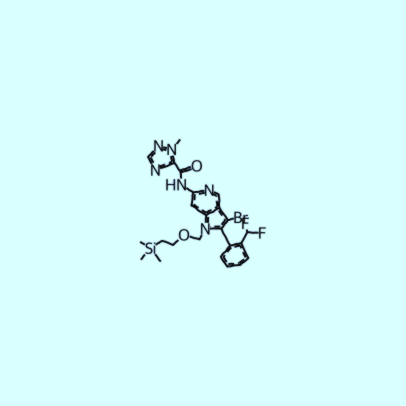 Cn1ncnc1C(=O)Nc1cc2c(cn1)c(Br)c(-c1ccccc1C(F)F)n2COCC[Si](C)(C)C